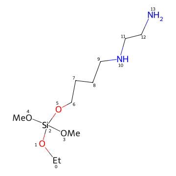 CCO[Si](OC)(OC)OCCCCNCCN